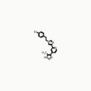 CCc1ccc(CCn2cnc(-c3cc(-c4nn[nH]c4C)ccn3)c2)cc1